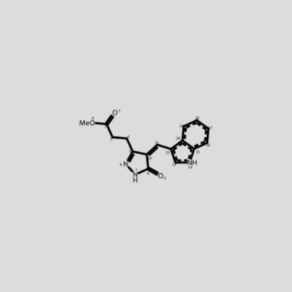 COC(=O)CCC1=NNC(=O)C1=Cc1c[nH]c2ccccc12